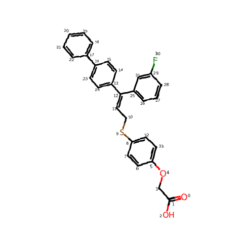 O=C(O)COc1ccc(SCC=C(c2ccc(-c3ccccc3)cc2)c2cccc(F)c2)cc1